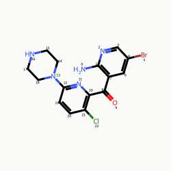 Nc1ncc(Br)cc1C(=O)c1nc(N2CCNCC2)ccc1Cl